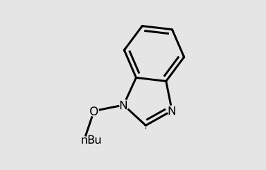 CCCCOn1[c]nc2ccccc21